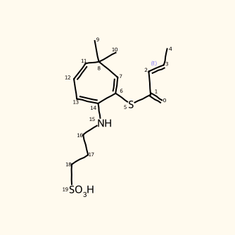 C=C(/C=C/C)SC1=CC(C)(C)C=CC=C1NCCCS(=O)(=O)O